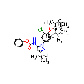 CC(C)[Si](Oc1ccc(-n2nc(C(C)(C)C)cc2NC(=O)Oc2ccccc2)cc1Cl)(C(C)C)C(C)C